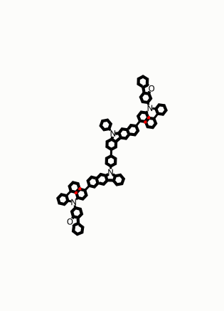 c1ccc(-c2ccccc2N(c2ccc(-c3ccc4cc5c(cc4c3)c3ccccc3n5-c3ccc(-c4ccc5c(c4)c4cc6ccc(-c7ccc(N(c8ccc9c(c8)oc8ccccc89)c8ccccc8-c8ccccc8)cc7)cc6cc4n5-c4ccccc4)cc3)cc2)c2ccc3c(c2)oc2ccccc23)cc1